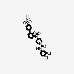 NS(=O)(=O)c1ccc(-c2cccc3c2[nH]c(=O)n3C2CCN(C(=O)Nc3ccc(Cl)c(Cl)c3)CC2)cc1